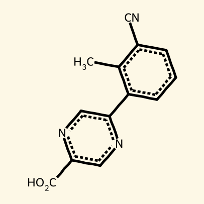 Cc1c(C#N)cccc1-c1cnc(C(=O)O)cn1